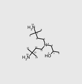 CC(O)CN(CCC(C)(C)N)CCC(C)(C)N